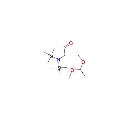 COC(C)OC.C[Si](C)(C)N(CC=O)[Si](C)(C)C